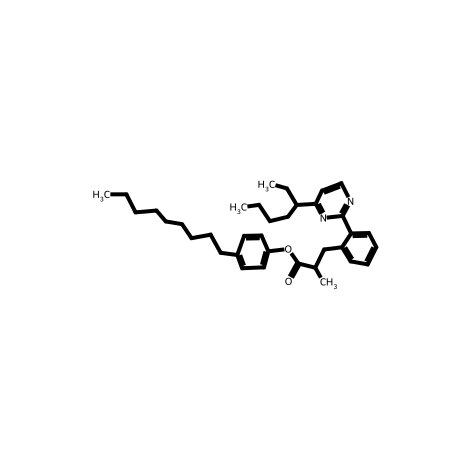 CCCCCCCCCc1ccc(OC(=O)C(C)Cc2ccccc2-c2nccc(C(CC)CCCC)n2)cc1